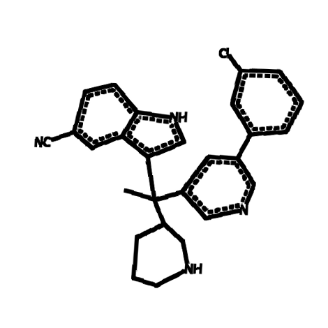 CC(c1cncc(-c2cccc(Cl)c2)c1)(c1c[nH]c2ccc(C#N)cc12)C1CCCNC1